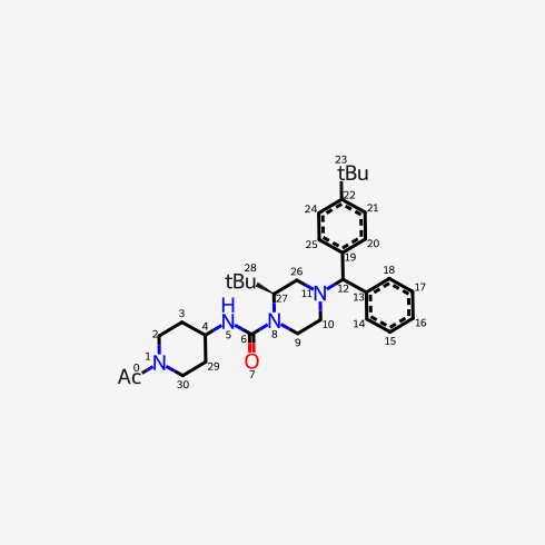 CC(=O)N1CCC(NC(=O)N2CCN(C(c3ccccc3)c3ccc(C(C)(C)C)cc3)C[C@@H]2C(C)(C)C)CC1